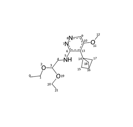 CCOC(CNc1nncc(OC)c1C12CC(C1)C2)OCC